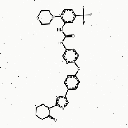 O=C(Nc1cnc(Oc2ccc(-c3cnc(N4CCCCC4=O)s3)cc2)nc1)Nc1cc(C(F)(F)F)ccc1N1CCOCC1